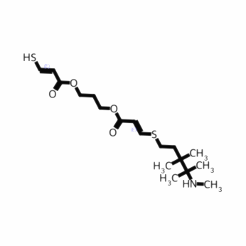 CNC(C)(C)C(C)(C)CCS/C=C/C(=O)OCCCOC(=O)/C=C/S